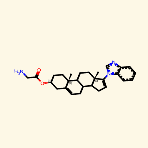 C[C@]12CC[C@H](OC(=O)CN)CC1=CCC1C2CC[C@]2(C)C(n3cnc4ccccc43)=CCC12